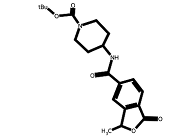 CC1OC(=O)c2ccc(C(=O)NC3CCN(C(=O)OC(C)(C)C)CC3)cc21